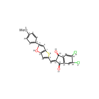 COc1ccc(-c2cc3sc(C=C4C(=O)c5cc(Cl)c(Cl)cc5C4=O)cc3o2)cc1